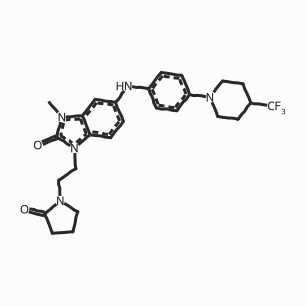 Cn1c(=O)n(CCN2CCCC2=O)c2ccc(Nc3ccc(N4CCC(C(F)(F)F)CC4)cc3)cc21